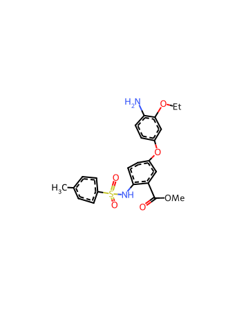 CCOc1cc(Oc2ccc(NS(=O)(=O)c3ccc(C)cc3)c(C(=O)OC)c2)ccc1N